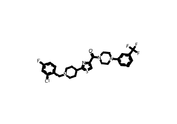 O=C(c1csc(C2CCN(Cc3ccc(F)cc3Cl)CC2)n1)N1CCN(c2cccc(C(F)(F)F)c2)CC1